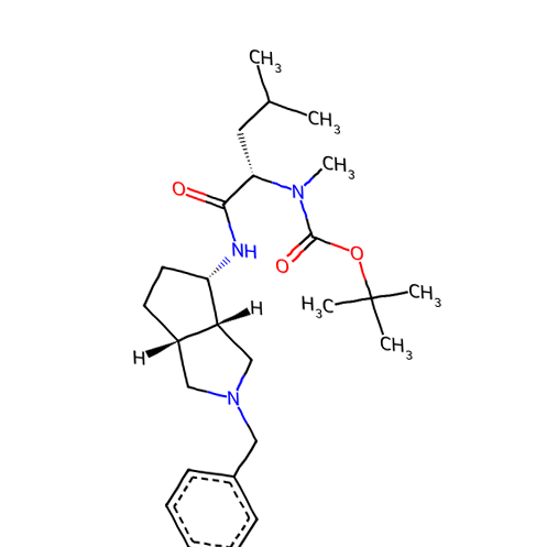 CC(C)C[C@@H](C(=O)N[C@H]1CC[C@H]2CN(Cc3ccccc3)C[C@H]21)N(C)C(=O)OC(C)(C)C